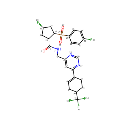 O=C(NCc1cc(C2=CCC(C(F)(F)F)CC2)ncn1)[C@@H]1C[C@@H](F)CC1S(=O)(=O)c1ccc(F)cc1